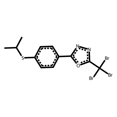 CC(C)Sc1ccc(-c2nnc(C(Br)(Br)Br)o2)cc1